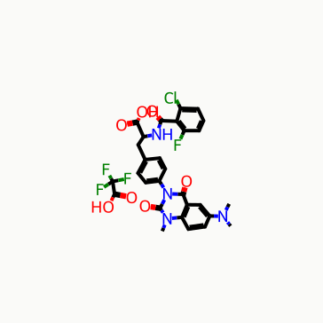 CN(C)c1ccc2c(c1)c(=O)n(-c1ccc(CC(NC(=O)c3c(F)cccc3Cl)C(=O)O)cc1)c(=O)n2C.O=C(O)C(F)(F)F